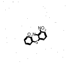 O=[N+]([O-])c1cccc(Sc2ccccc2)c1[N+](=O)[O-]